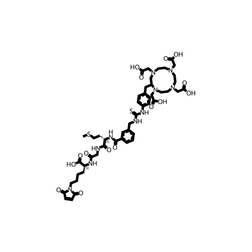 CSCC[C@H](NC(=O)c1cccc(CNC(=S)Nc2ccc(CC3CN(CC(=O)O)CCN(CC(=O)O)CCN(CC(=O)O)CCN3CC(=O)O)cc2)c1)C(=O)NCC(=O)N[C@@H](CCCCN1C(=O)C=CC1=O)C(=O)O